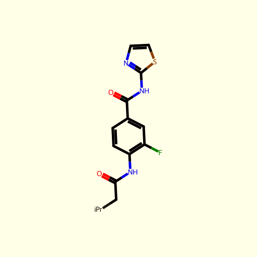 CC(C)CC(=O)Nc1ccc(C(=O)Nc2nccs2)cc1F